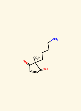 NCCCCC1(C(=O)O)C(=O)C=CC1=O